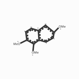 COc1ccc2c(OC)c(OC)ccc2c1